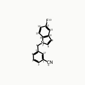 N#Cc1cccc(Cn2ccc3cc(F)ccc32)c1